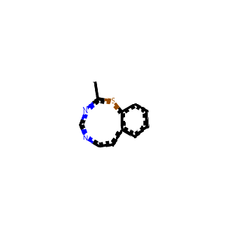 Cc1ncnccc2ccccc2s1